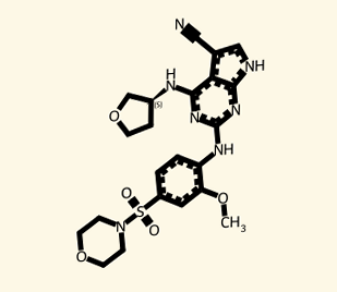 COc1cc(S(=O)(=O)N2CCOCC2)ccc1Nc1nc(N[C@H]2CCOC2)c2c(C#N)c[nH]c2n1